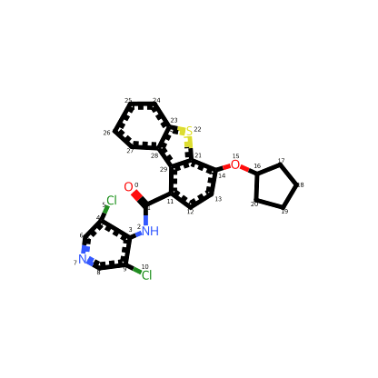 O=C(Nc1c(Cl)cncc1Cl)c1ccc(OC2CCCC2)c2sc3ccccc3c12